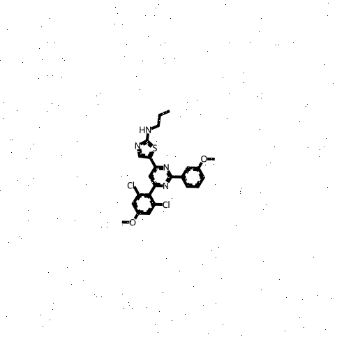 CCCNc1ncc(-c2cc(-c3c(Cl)cc(OC)cc3Cl)nc(-c3cccc(OC)c3)n2)s1